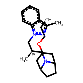 CCCOC1CC2CCC(C1)N2C[C@@H](C)Cn1nc(C)c2ccccc21